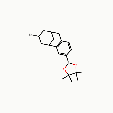 CCC1CC2Cc3ccc(B4OC(C)(C)C(C)(C)O4)cc3C(C1)C2